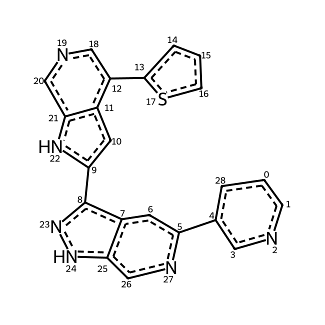 c1cncc(-c2cc3c(-c4cc5c(-c6cccs6)cncc5[nH]4)n[nH]c3cn2)c1